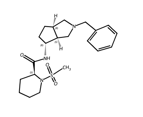 CS(=O)(=O)N1CCCC[C@H]1C(=O)N[C@@H]1CC[C@H]2CN(Cc3ccccc3)C[C@H]21